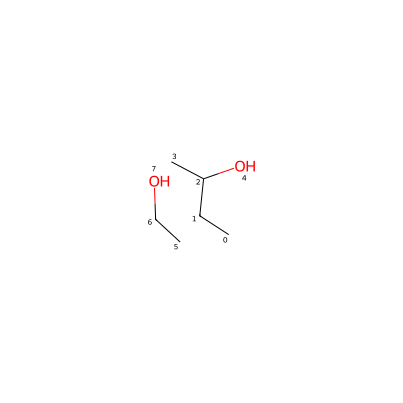 CCC(C)O.CCO